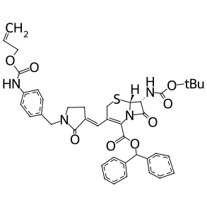 C=CCOC(=O)Nc1ccc(CN2CC/C(=C\C3=C(C(=O)OC(c4ccccc4)c4ccccc4)N4C(=O)[C@@H](NC(=O)OC(C)(C)C)[C@H]4SC3)C2=O)cc1